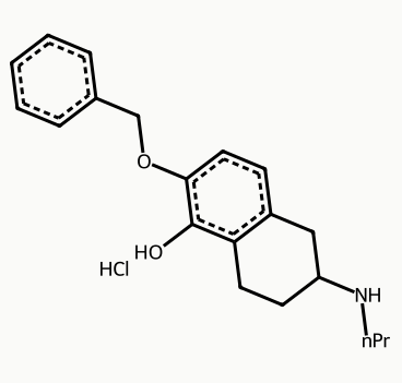 CCCNC1CCc2c(ccc(OCc3ccccc3)c2O)C1.Cl